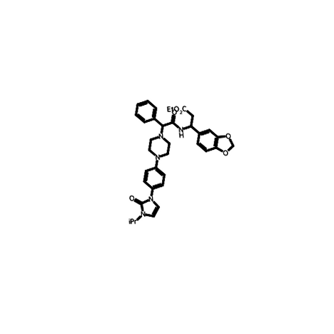 CCOC(=O)CC(NC(=O)C(c1ccccc1)N1CCN(c2ccc(-n3ccn(C(C)C)c3=O)cc2)CC1)c1ccc2c(c1)OCO2